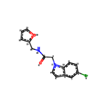 O=C(Cn1ccc2cc(Br)ccc21)NCc1ccco1